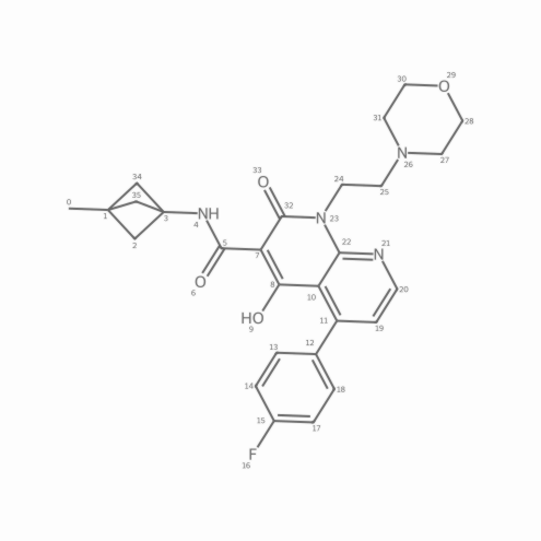 CC12CC(NC(=O)c3c(O)c4c(-c5ccc(F)cc5)ccnc4n(CCN4CCOCC4)c3=O)(C1)C2